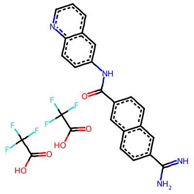 N=C(N)c1ccc2cc(C(=O)Nc3ccc4ncccc4c3)ccc2c1.O=C(O)C(F)(F)F.O=C(O)C(F)(F)F